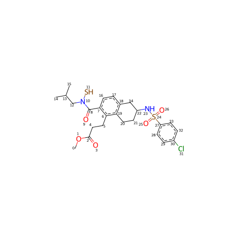 COC(=O)CCc1c(C(=O)N(S)CC(C)C)ccc2c1CCC(NS(=O)(=O)c1ccc(Cl)cc1)C2